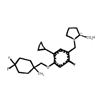 CC1(COc2cc(F)c(CN3CCC[C@H]3C(=O)O)cc2C2CC2)CCC(F)(F)CC1